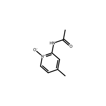 CC(=O)Nc1cc(C)cc[n+]1[O-]